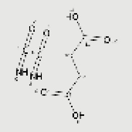 N=C=O.N=C=O.O=C(O)CCC(=O)O